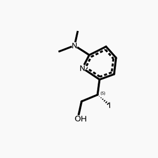 CN(C)c1cccc([C@H](I)CO)n1